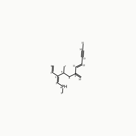 C=C/C(=C/PC)C(C)CC(=C)/C=C/C#CC